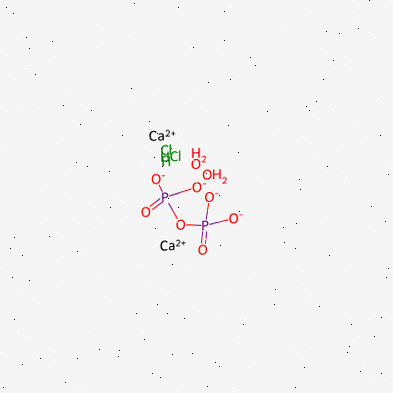 Cl.Cl.O.O.O=P([O-])([O-])OP(=O)([O-])[O-].[Ca+2].[Ca+2]